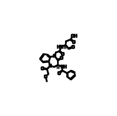 COCC(=O)N1C[C@H](NC(=O)c2ccccc2)C(=O)N(CC(=O)N[C@H](C=O)CC(=O)O)c2ccccc21